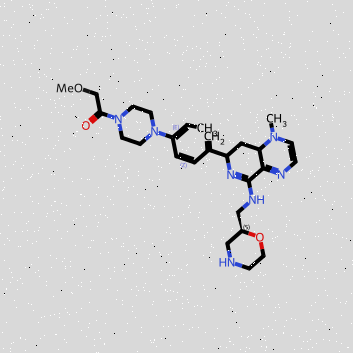 C=C(/C=C\C(=C/C)N1CCN(C(=O)COC)CC1)C1CC2C(=NC=CN2C)C(NC[C@@H]2CNCCO2)=N1